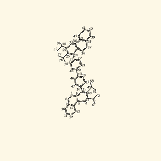 CC(C)c1cc2c(ccc3ccccc32)c(-c2ccc(-c3ccc(-c4c(C(C)C)c(C(C)C)cc5c4ccc4ccccc45)cc3)cc2)c1C(C)C